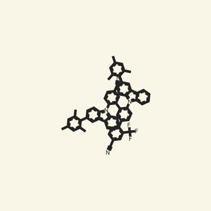 Cc1cc(C)c(-c2ccc3c(c2)c2ccccc2n3-c2ccc(C#N)cc2-c2cc(-c3ccc(C#N)cc3C(F)(F)F)ccc2-n2c3ccccc3c3cc(-c4c(C)cc(C)cc4C)ccc32)c(C)c1